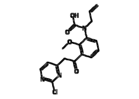 C=CCN(C(=O)O)c1cccc(C(=O)Cc2ccnc(Cl)n2)c1OC